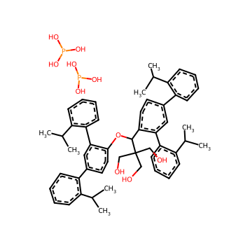 CC(C)c1ccccc1-c1ccc(OC(c2ccc(-c3ccccc3C(C)C)cc2-c2ccccc2C(C)C)C(CO)(CO)CO)c(-c2ccccc2C(C)C)c1.OP(O)O.OP(O)O